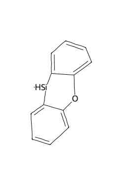 c1ccc2c(c1)Oc1ccccc1[SiH]2